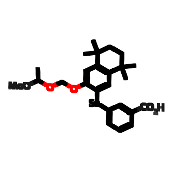 COC(C)OCOc1cc2c(cc1[Se]c1cccc(C(=O)O)c1)C(C)(C)CCC2(C)C